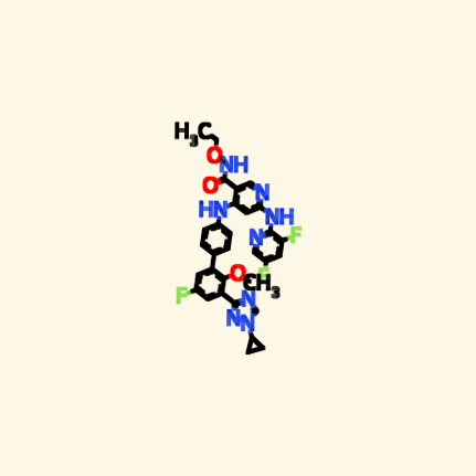 CCONC(=O)c1cnc(Nc2ncc(F)cc2F)cc1Nc1ccc(-c2cc(F)cc(-c3ncn(C4CC4)n3)c2OC)cc1